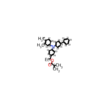 C=C(C)C(=O)OC(CC)c1ccc(N(c2ccc(-c3ccccc3)cc2)c2ccc(C)c(C)c2)cc1